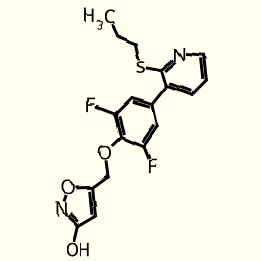 CCCSc1ncccc1-c1cc(F)c(OCc2cc(O)no2)c(F)c1